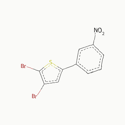 O=[N+]([O-])c1cccc(-c2cc(Br)c(Br)s2)c1